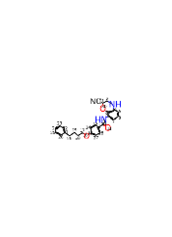 N#CC1CNc2cccc(NC(=O)c3ccc(OCCCCc4ccccc4)cc3)c2O1